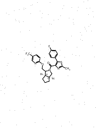 Cc1nc(C(=O)N2C[C@H]3CCC[C@H]3C2COc2ccc(C(F)(F)F)cn2)c(-c2ccc(F)cc2)s1